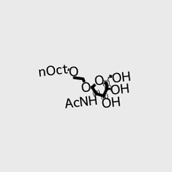 CCCCCCCCOCCOC1O[C@H](CO)[C@@H](O)[C@H](O)[C@H]1NC(C)=O